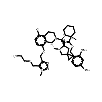 COc1ccc(COC(=O)[C@@]2(C)CCCC[C@H]2C(=O)N2CCc3c(Cl)ccc(OCc4nnn(C)c4COCCN)c3[C@H]2CN2CC3(CC3)CC2=O)c(OC)c1